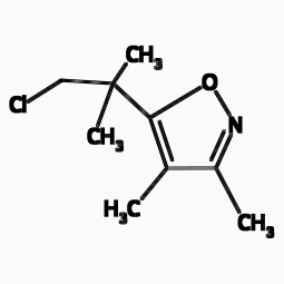 Cc1noc(C(C)(C)CCl)c1C